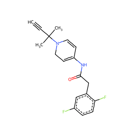 C#CC(C)(C)N1C=CC(NC(=O)Cc2cc(F)ccc2F)=CC1